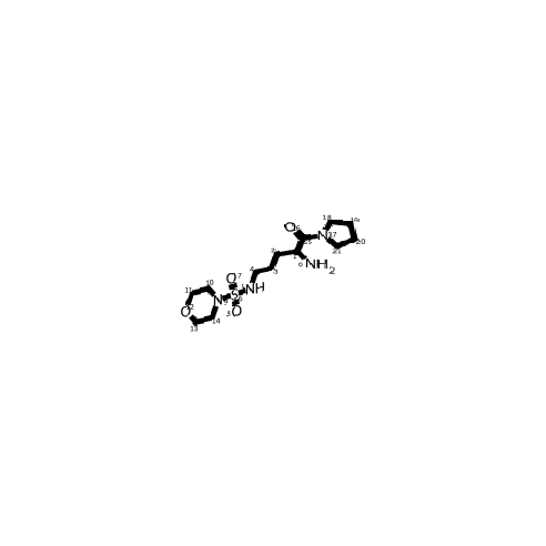 NC(CCCNS(=O)(=O)N1CCOCC1)C(=O)N1CCCC1